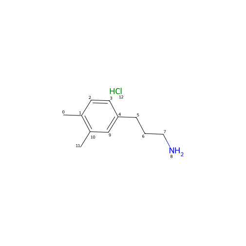 Cc1ccc(CCCN)cc1C.Cl